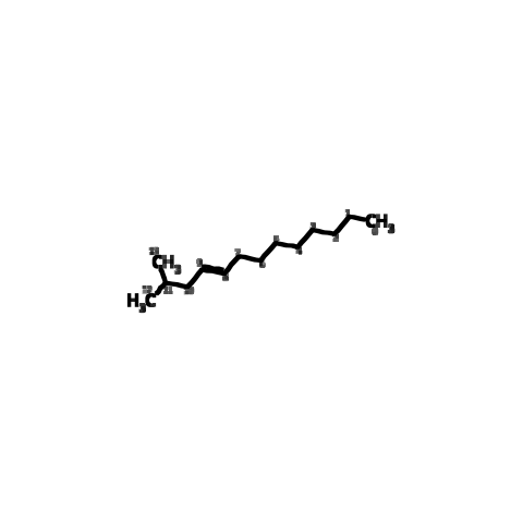 CCCCCCCC/C=C/CC(C)C